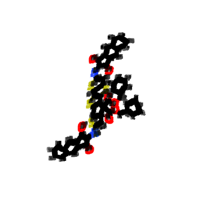 O=C(OCc1ccccc1)C1(C(=O)OCc2ccccc2)c2cc(N=c3c(=O)c4cc5ccccc5cc4c3=O)sc2-c2sc3c(sc4cc(N=c5c(=O)c6cc7ccccc7cc6c5=O)sc43)c21